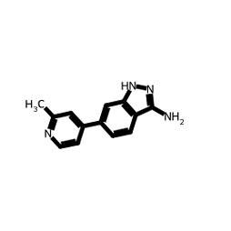 Cc1cc(-c2ccc3c(N)n[nH]c3c2)ccn1